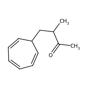 CC(=O)C(C)CC1C=CC=CC=C1